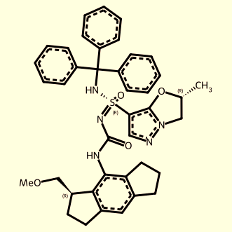 COC[C@@H]1CCc2cc3c(c(NC(=O)N=[S@](=O)(NC(c4ccccc4)(c4ccccc4)c4ccccc4)c4cnn5c4O[C@H](C)C5)c21)CCC3